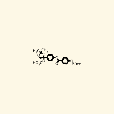 CCCCCCCCCCOc1ccc(C(=O)Oc2ccc([C@@]3(OC(=O)O)COC(C)(C)O3)cc2)cc1